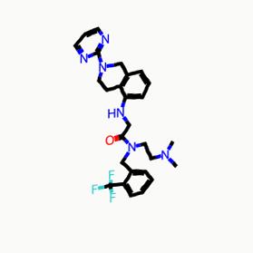 CN(C)CCN(Cc1ccccc1C(F)(F)F)C(=O)CNc1cccc2c1CCN(c1ncccn1)C2